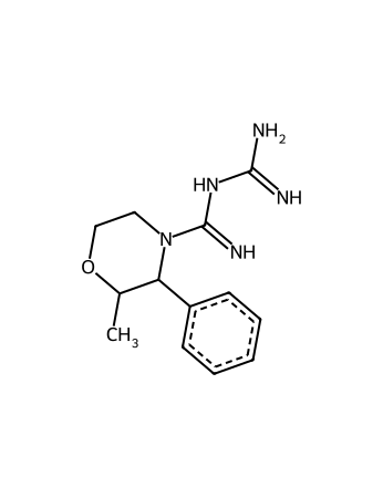 CC1OCCN(C(=N)NC(=N)N)C1c1ccccc1